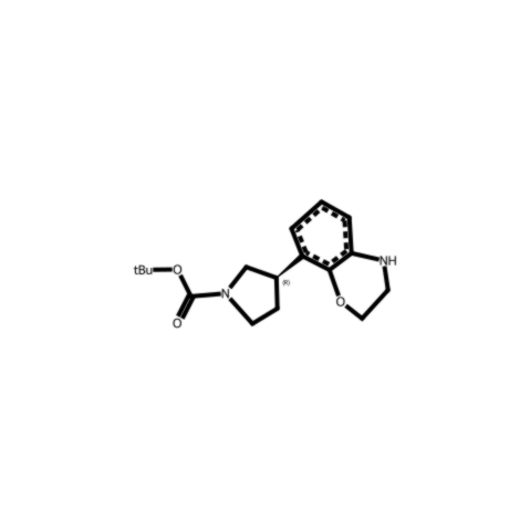 CC(C)(C)OC(=O)N1CC[C@H](c2cccc3c2OCCN3)C1